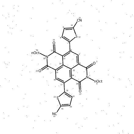 CCCCCCCCN1C(=O)c2cc(-c3ccc(C#N)s3)c3c4c(cc(-c5ccc(C#N)s5)c(c24)C1=O)C(=O)N(CCCCCCCC)C3=O